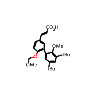 COCOc1ccc(C=CC(=O)O)cc1-c1cc(C(C)(C)C)cc(C(C)(C)C)c1OC